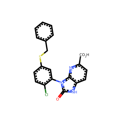 O=C(O)c1ccc2[nH]c(=O)n(-c3cc(SCc4ccccc4)ccc3Cl)c2n1